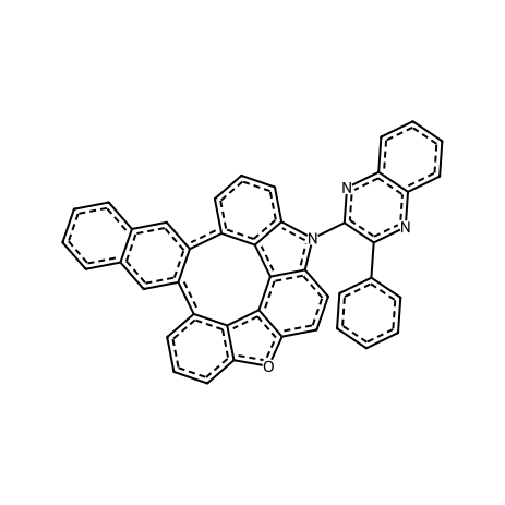 c1ccc(-c2nc3ccccc3nc2-n2c3cccc4c5cc6ccccc6cc5c5cccc6oc7ccc2c(c7c65)c43)cc1